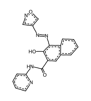 O=C(Nc1ccccn1)c1cc2ccccc2c(/N=N/c2cnoc2)c1O